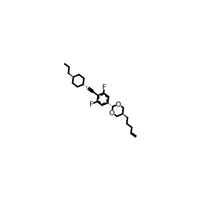 C=CCCC[C@H]1CO[C@H](c2cc(F)c(C#C[C@H]3CC[C@H](CCC)CC3)c(F)c2)OC1